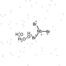 O.O.O.[Br][Nb]([Br])[Br]